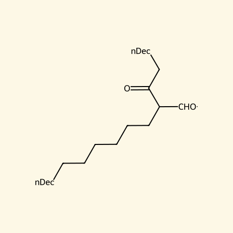 CCCCCCCCCCCCCCCCC([C]=O)C(=O)CCCCCCCCCCC